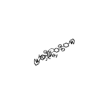 O=C(O)NC1c2ccc(S(=O)(=O)c3ccc(-n4cccn4)cc3)cc2CCN1S(=O)(=O)c1ccc(-n2cccn2)cc1